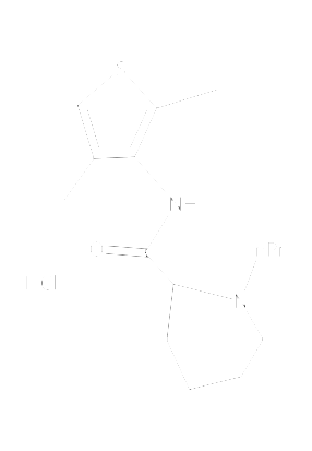 CCCN1CCCCC1C(=O)Nc1c(C)csc1C.Cl